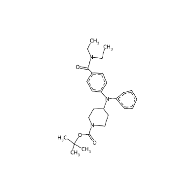 CCN(CC)C(=O)c1ccc(N(c2ccccc2)C2CCN(C(=O)OC(C)(C)C)CC2)cc1